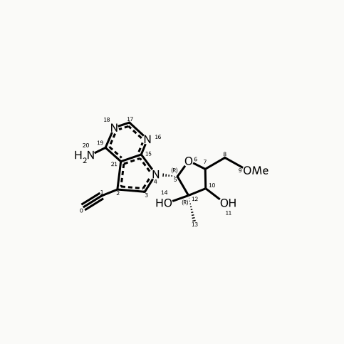 C#Cc1cn([C@@H]2OC(COC)C(O)[C@@]2(C)O)c2ncnc(N)c12